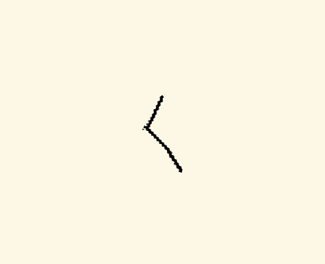 CCCCCCCCCCCCCCCCCCCCCCCCCCC[CH]C(C)CCCCCCCCCCCCCCCCC